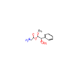 NCC(=O)OC(=O)[C@H](O)c1ccccc1.[Zn]